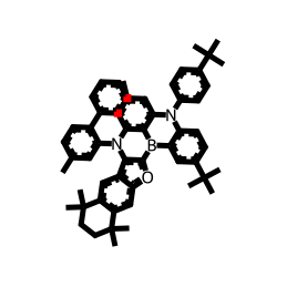 Cc1ccc(-c2ccccc2)c(N2c3cc(C)cc4c3B(c3cc(C(C)(C)C)ccc3N4c3ccc(C(C)(C)C)cc3)c3oc4cc5c(cc4c32)C(C)(C)CCC5(C)C)c1